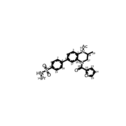 CC(=O)N1c2ccc(-c3ccc(S(=O)(=O)NC(C)C)cc3)cc2N(C(=O)c2ccco2)CC1C